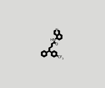 O=C(C=CC=C(c1ccccc1)c1ccc(C(F)(F)F)cc1)Nc1cccc2cnccc12